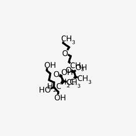 C=C(C)C(=O)O.C=C(C)C(=O)O.CCCOCCC.OCCCCC(O)CO